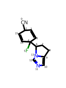 N#CC1C=CC(F)(C2CCc3cncn32)C=C1